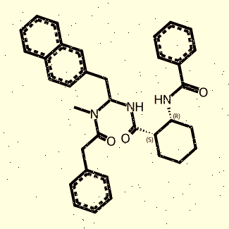 CN(C(=O)Cc1ccccc1)C(Cc1ccc2ccccc2c1)NC(=O)[C@H]1CCCC[C@H]1NC(=O)c1ccccc1